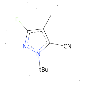 Cc1c(F)nn(C(C)(C)C)c1C#N